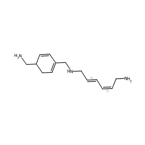 NC/C=C\C=C\CNCC1=CCC(CN)C=C1